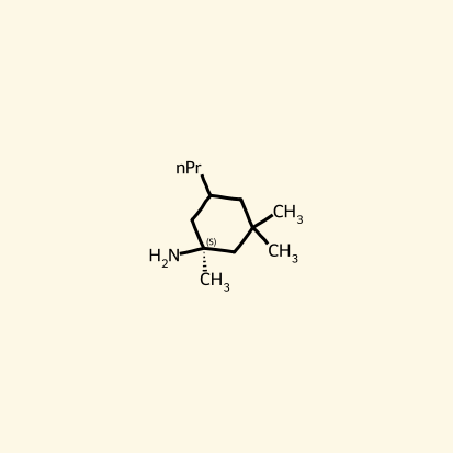 CCCC1CC(C)(C)C[C@@](C)(N)C1